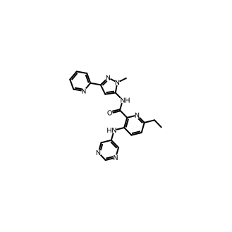 CCc1ccc(Nc2cncnc2)c(C(=O)Nc2cc(-c3ccccn3)nn2C)n1